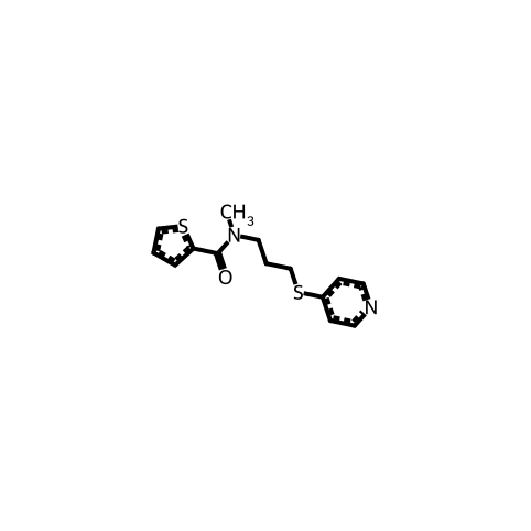 CN(CCCSc1ccncc1)C(=O)c1cccs1